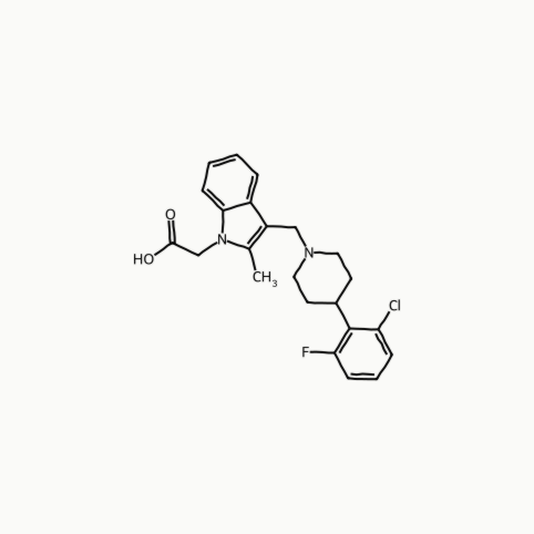 Cc1c(CN2CCC(c3c(F)cccc3Cl)CC2)c2ccccc2n1CC(=O)O